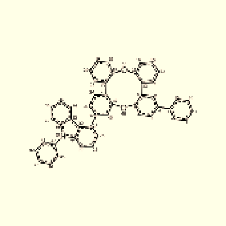 c1ccc(-c2ccc3c(c2)-c2ccccc2Oc2ccccc2-c2ccc(-c4cccc5c4c4ccccc4n5-c4ccccc4)cc2O3)cc1